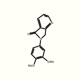 COc1ccc(N2Cc3ncccc3C2=O)cc1OC